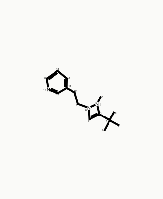 Cn1c(C(C)(C)C)cn1CCc1cccnc1